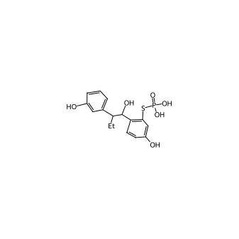 CCC(c1cccc(O)c1)C(O)c1ccc(O)cc1SP(=O)(O)O